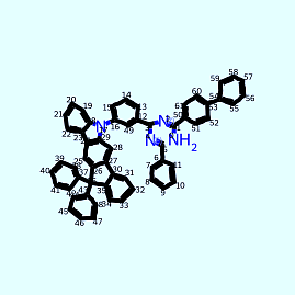 N/C(=N\C(/N=C/c1ccccc1)c1cccc(-n2c3ccccc3c3cc4c(cc32)-c2ccccc2C4(c2ccccc2)c2ccccc2)c1)c1ccc(-c2ccccc2)cc1